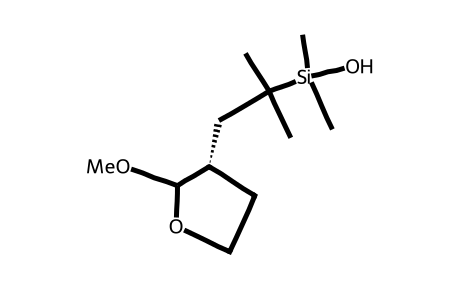 COC1OCC[C@H]1CC(C)(C)[Si](C)(C)O